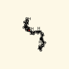 CCc1c2c(nc3ccc(O)cc13)-c1cc3c(c(=O)n1C2)COC(=O)C3(CC)OC(=O)OCC(NC(=O)COCC(=O)NC(C)(C)CCOC(C)(C)CCn1cc(CNC(=O)C2CCC(CN3C(=O)CCC3=O)CC2)nn1)C(C)C